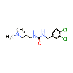 CN(C)CCCNC(=O)NCc1ccc(Cl)c(Cl)c1